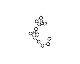 c1ccc(-c2cccc(-c3cccc(-c4ccc(-c5ccc(-c6ccccc6-n6c7ccccc7c7cc(-c8ccc9c(c8)c8ccccc8n9-c8ccccc8-c8ccccc8)ccc76)cc5)cc4)c3)c2)cc1